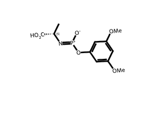 COc1cc(OC)cc(O[P+]([O-])=N[C@@H](C)C(=O)O)c1